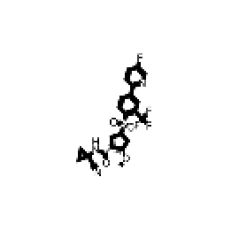 CO[C@@H]1CC(S(=O)(=O)c2ccc(-c3ccc(F)cn3)cc2C(F)(F)F)C[C@H]1C(=O)NC1(C#N)CC1